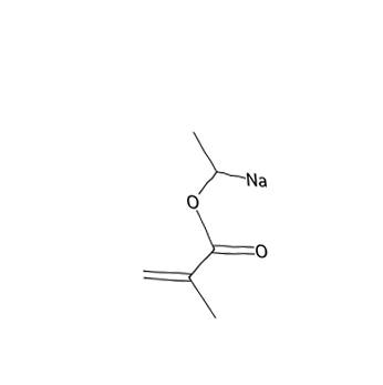 C=C(C)C(=O)O[CH](C)[Na]